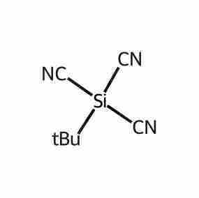 CC(C)(C)[Si](C#N)(C#N)C#N